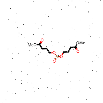 COC(=O)CCCOS(=O)OCCCC(=O)OC